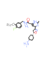 COc1cc(CNC(=O)c2cc(C3=NOC([C@H]4CC[C@H](N)CC4)C3)nc(C)n2)ccc1F